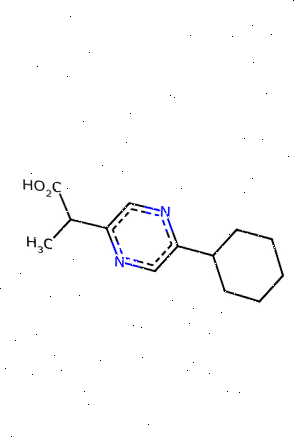 CC(C(=O)O)c1cnc(C2CCCCC2)cn1